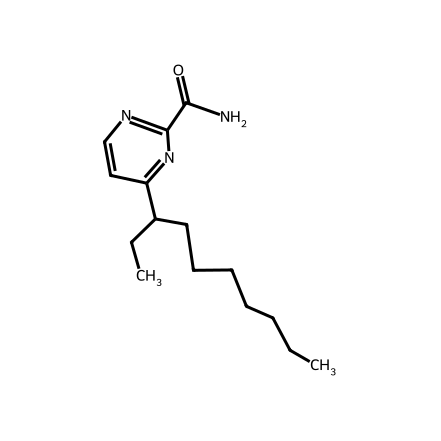 CCCCCCCC(CC)c1ccnc(C(N)=O)n1